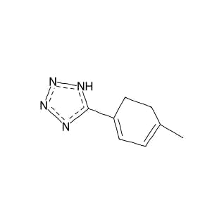 CC1=CC=C(c2nnn[nH]2)CC1